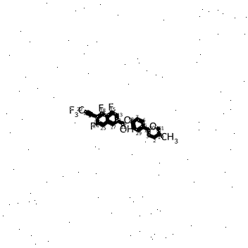 CC1CCC(c2ccc(OC(O)c3cc(F)c4c(F)c(C#CC(F)(F)F)c(F)cc4c3)cc2)OC1